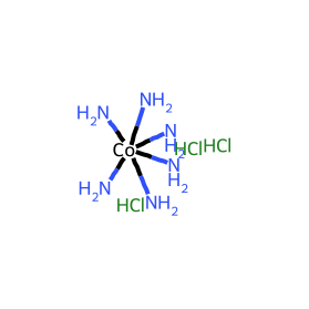 Cl.Cl.Cl.[NH2][Co]([NH2])([NH2])([NH2])([NH2])[NH2]